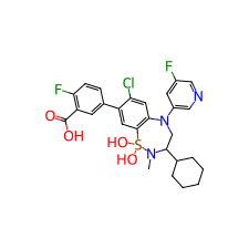 CN1C(C2CCCCC2)CN(c2cncc(F)c2)c2cc(Cl)c(-c3ccc(F)c(C(=O)O)c3)cc2S1(O)O